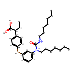 CCCCCCCNC(=O)N(CCCCCCC)c1cccc(Sc2ccc(C(CC)C(=O)O)cc2)c1